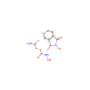 NC(=O)CCC(=O)NO.O=C1c2ccccc2C(=O)N1O